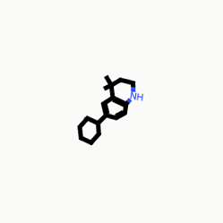 CC1(C)CCNc2ccc(C3[CH]CCCC3)cc21